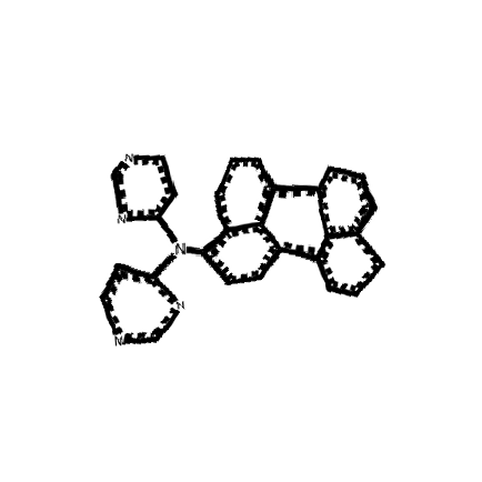 c1cc2cccc3c4ccc(N(c5ccncn5)c5ccncn5)c5cccc(c(c1)c23)c54